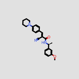 COc1cccc([C@H](C)NC(=O)/C(C#N)=C/c2ccc(N3CCCCC3)cc2)c1